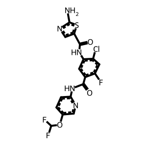 Nc1ncc(C(=O)Nc2cc(C(=O)Nc3ccc(OC(F)F)cn3)c(F)cc2Cl)s1